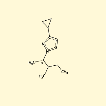 CCC(C)[C@H](C)n1ccc(C2CC2)n1